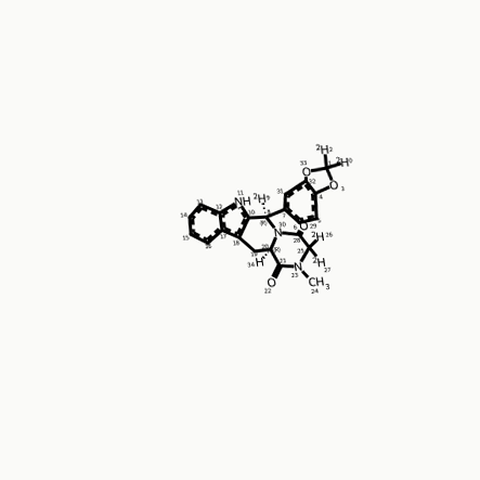 [2H]C1([2H])Oc2ccc([C@]3([2H])c4[nH]c5ccccc5c4C[C@@H]4C(=O)N(C)C([2H])([2H])C(=O)N43)cc2O1